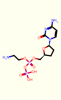 NCCOP(=O)(OC[C@@H]1CC[C@H](n2ccc(N)nc2=O)O1)OP(=O)(O)O